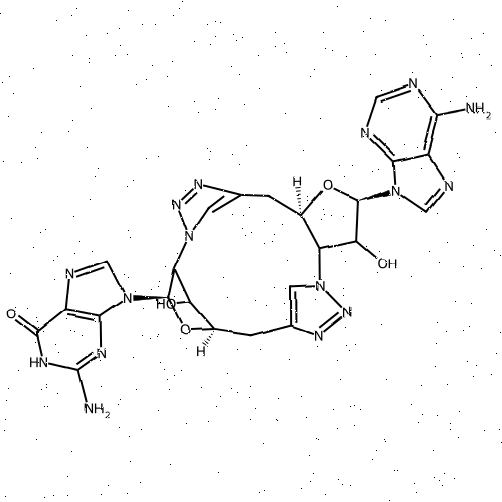 Nc1nc2c(ncn2[C@@H]2O[C@@H]3Cc4cn(nn4)C4C(O)[C@H](n5cnc6c(N)ncnc65)O[C@@H]4Cc4cn(nn4)C2C3O)c(=O)[nH]1